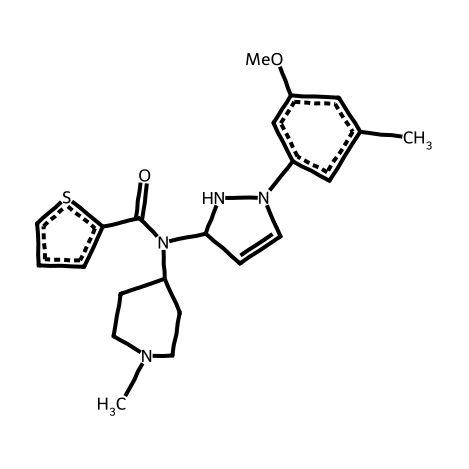 COc1cc(C)cc(N2C=CC(N(C(=O)c3cccs3)C3CCN(C)CC3)N2)c1